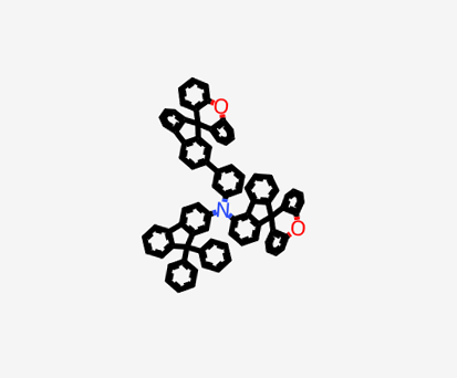 c1ccc(C2(c3ccccc3)c3ccccc3-c3ccc(N(c4cccc(-c5ccc6c(c5)C5(c7ccccc7Oc7ccccc75)c5ccccc5-6)c4)c4cccc5c4-c4ccccc4C54c5ccccc5Oc5ccccc54)cc32)cc1